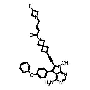 Cn1c(C#CC2CC3(C2)CN(C(=O)/C=C/CN2CC(F)C2)C3)c(-c2ccc(Oc3ccccc3)cc2)c2c(N)ncnc21